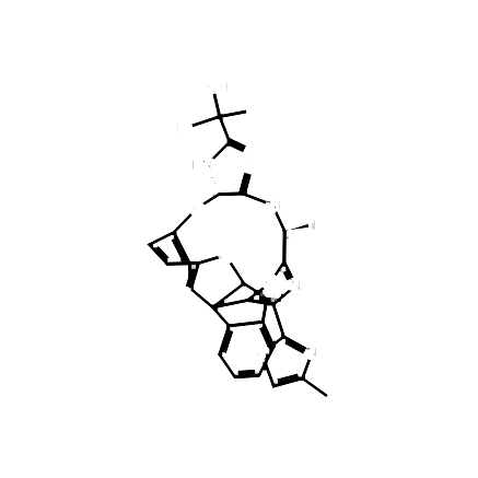 CCC(C)(O)C(=O)N[C@H]1Cc2ccc3c(c2)C2(c4ccccc4NC2O3)c2oc(nc2-c2nc(C)co2)[C@H](C(C)C)NC1=O